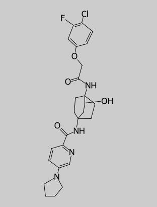 O=C(COc1ccc(Cl)c(F)c1)NC12CCC(NC(=O)c3ccc(N4CCCC4)cn3)(CC1)CC2O